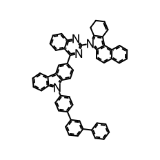 C1=Cc2c(n(-c3nc(-c4ccc5c(c4)c4ccccc4n5-c4ccc(-c5cccc(-c6ccccc6)c5)cc4)c4ccccc4n3)c3ccc4ccccc4c23)CC1